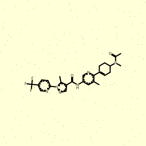 CC(=O)N(C)C1CC=C(c2ncc(NC(=O)c3cnn(-c4ccc(C(F)(F)F)cn4)c3C)cc2C)CC1